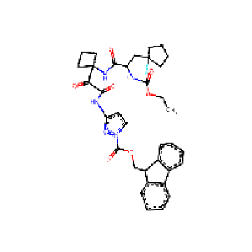 CCOC(=O)NC(CC1(F)CCCC1)C(=O)NC1(C(=O)C(=O)Nc2ccn(C(=O)OCC3c4ccccc4-c4ccccc43)n2)CCC1